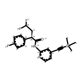 C[Si](C)(C)C#Cc1ccnc(NC(=O)[C@H](CC(F)F)c2ccc(F)cc2)c1